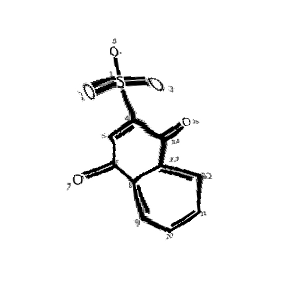 [O]S(=O)(=O)C1=CC(=O)c2ccccc2C1=O